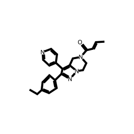 CC=CC(=O)N1CCn2nc(-c3ccc(CC)cc3)c(-c3ccncc3)c2C1